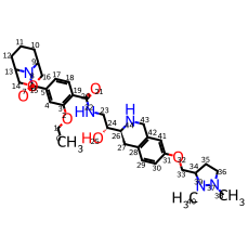 CCOc1cc(C(=O)N2C3CCCC2COC3)ccc1C(=O)NC[C@@H](O)[C@@H]1Cc2ccc(OCC3CCN(C)N3C)cc2CN1